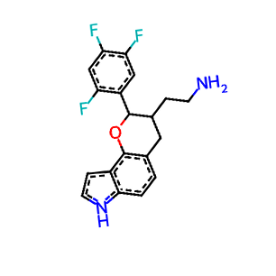 NCCC1Cc2ccc3[nH]ccc3c2OC1c1cc(F)c(F)cc1F